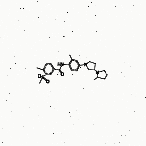 Cc1cc(N2CCC(N3CCCC3C)C2)ccc1NC(=O)c1ccc(C)c(S(C)(=O)=O)c1